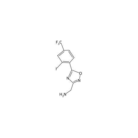 NCc1noc(-c2ccc(C(F)(F)F)cc2I)n1